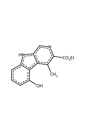 CCOC(=O)c1ncc2[nH]c3cccc(O)c3c2c1C